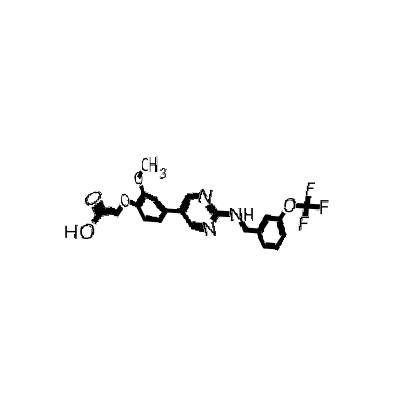 COc1cc(-c2cnc(NCc3cccc(OC(F)(F)F)c3)nc2)ccc1OCC(=O)O